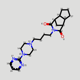 O=C1C2CC(C(=O)N1CCCCN1CCN(c3ncccn3)CC1)C1CCCC21